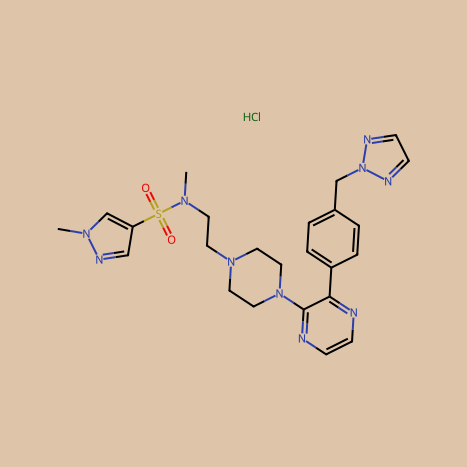 CN(CCN1CCN(c2nccnc2-c2ccc(Cn3nccn3)cc2)CC1)S(=O)(=O)c1cnn(C)c1.Cl